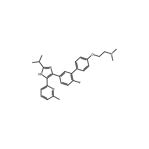 Cc1cccc(-c2[nH]c(C(C)C)nc2-c2ccc(F)c(-c3ccc(OCCN(C)C)cc3)c2)n1